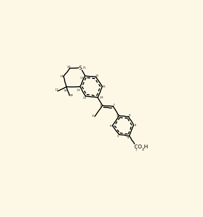 CC(=Cc1ccc(C(=O)O)cc1)c1ccc2c(c1)C(C)(C)CCS2